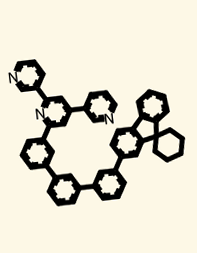 c1cncc(-c2cc(-c3cccnc3)nc(-c3cccc(-c4cccc(-c5cccc(-c6ccc7c(c6)C6(CCCCC6)c6ccccc6-7)c5)c4)c3)c2)c1